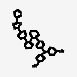 CCCc1ccc(N(c2ccc(CCC)cc2)c2ccc(-c3ccccc3-c3ccccc3-c3ccc(-c4nnc(-c5ccccc5)o4)cc3)cc2)cc1